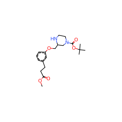 COC(=O)CCc1cccc(OCC2CN(C(=O)OC(C)(C)C)CCN2)c1